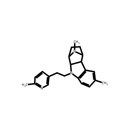 Cc1ccc2c(c1)C1C(C3CCC1N3C)N2CCc1ccc(C)nc1